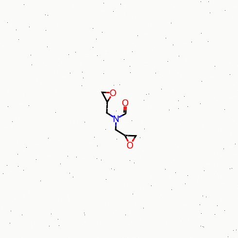 O=CN(CC1CO1)CC1CO1